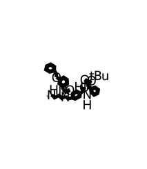 CN(C)CCCN(Cc1ccc(C(=O)Nc2ccccc2NC(=O)OC(C)(C)C)cc1)C(=O)Nc1cccc(OCc2ccccc2)c1